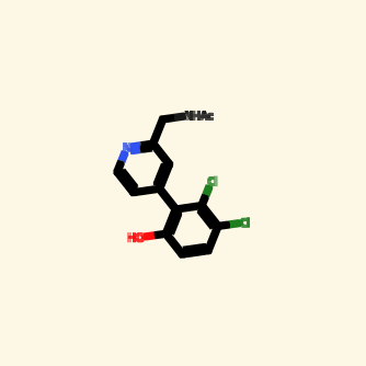 CC(=O)NCc1cc(-c2c(O)ccc(Cl)c2Cl)ccn1